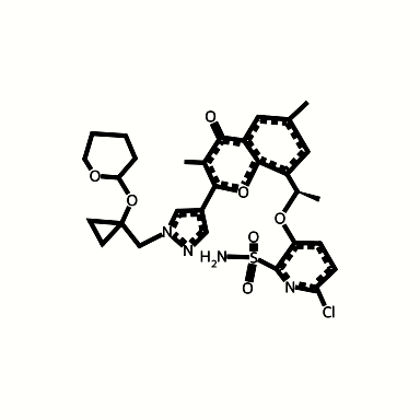 Cc1cc([C@@H](C)Oc2ccc(Cl)nc2S(N)(=O)=O)c2oc(-c3cnn(CC4(OC5CCCCO5)CC4)c3)c(C)c(=O)c2c1